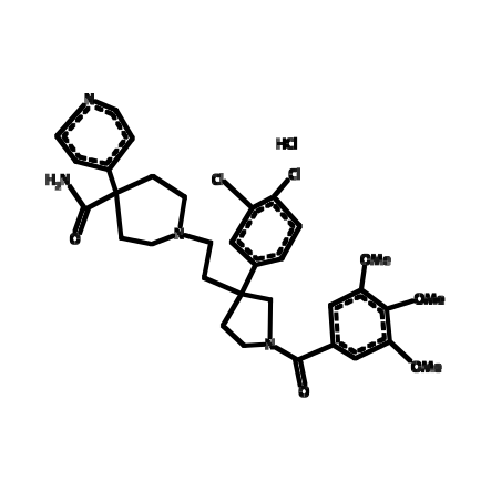 COc1cc(C(=O)N2CCC(CCN3CCC(C(N)=O)(c4ccncc4)CC3)(c3ccc(Cl)c(Cl)c3)C2)cc(OC)c1OC.Cl